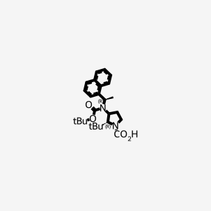 C[C@H](c1cccc2ccccc12)N(C(=O)OC(C)(C)C)C1CCN(C(=O)O)[C@@H]1C(C)(C)C